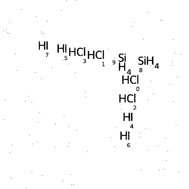 Cl.Cl.Cl.Cl.I.I.I.I.[SiH4].[SiH4]